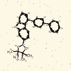 CC1(C)OB(c2ccc3c(c2)oc2cccc(-c4ccc(-c5ccccc5)cc4)c23)OC1(C)C